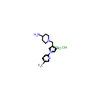 Cl.Cl.Cl.NC1CCN(Cc2ccn(-c3ccc(C(F)(F)F)cn3)c2)CC1